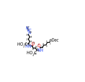 CCCCCCCCCCCCCCCC(=O)NC(CCC(=O)NC(CCCCN=[N+]=[N-])C(=O)O)C(=O)O